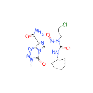 Cn1nnc2c(C(N)=O)ncn2c1=O.O=NN(CCCl)C(=O)NC1CCCCC1